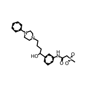 CS(=O)(=O)CC(=O)Nc1cccc(C(O)CCCN2CCN(c3ccccc3)CC2)c1